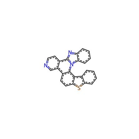 c1ccc2c(c1)nc1c3ccncc3c3ccc4sc5ccccc5c4c3n21